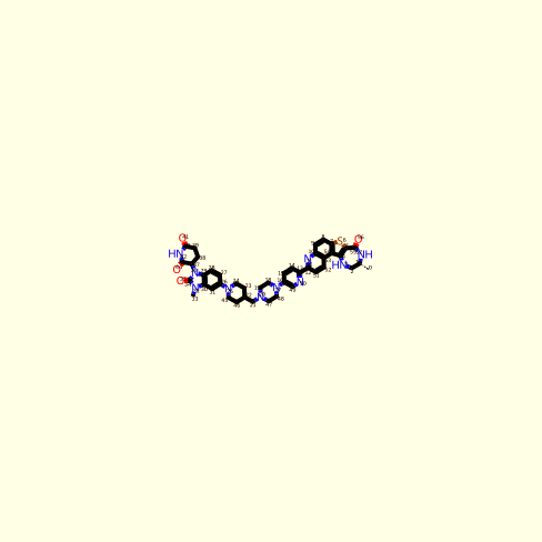 C[C@@H]1CNc2c(sc3ccc4nc(-c5ccc(N6CCN(CC7CCN(c8ccc9c(c8)n(C)c(=O)n9C8CCC(=O)NC8=O)CC7)CC6)cn5)ccc4c23)C(=O)N1